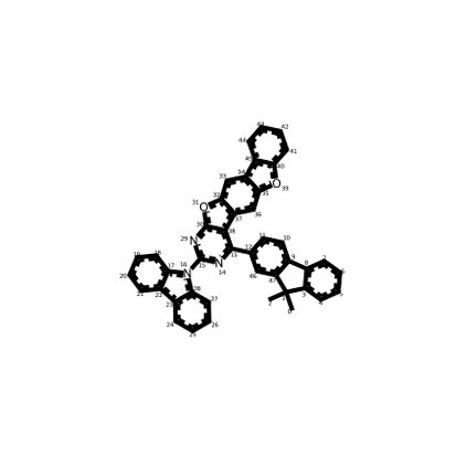 CC1(C)c2ccccc2-c2ccc(-c3nc(-n4c5ccccc5c5ccccc54)nc4oc5cc6c(cc5c34)oc3ccccc36)cc21